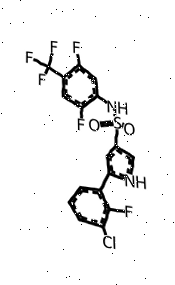 O=S(=O)(Nc1cc(F)c(C(F)(F)F)cc1F)c1c[nH]c(-c2cccc(Cl)c2F)c1